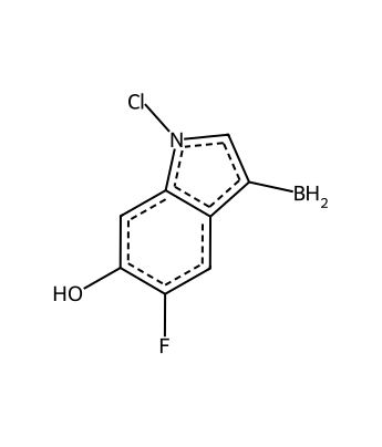 Bc1cn(Cl)c2cc(O)c(F)cc12